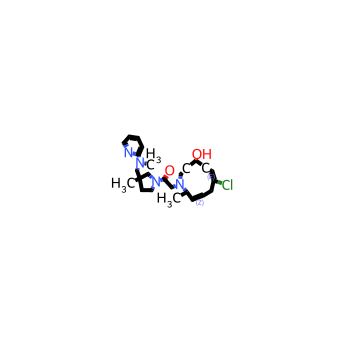 CC1/C=C\C/C(Cl)=C\CC(O)CCN1CC(=O)N1CCC(C)(CN(C)c2ccccn2)C1